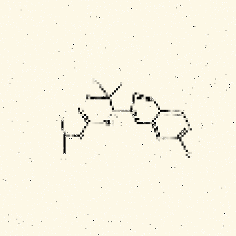 CC(C)(C)OC(=O)N[C@@H](c1ccc2cnc(Cl)cc2c1)C(F)(F)F